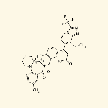 CCc1c([C@@H](CC(=O)O)c2ccc(C)c(CN3C[C@H]4CCCCN4c4ncc(C)cc4S3(=O)=O)c2)ccn2c(C(F)(F)F)nnc12